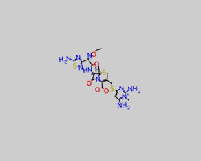 CCO/N=C(\C(=O)N[C@@H]1C(=O)N2C(C(=O)[O-])=C(CSc3cc(N)[n+](C)c(N)n3)CS[C@H]12)c1nsc(N)n1